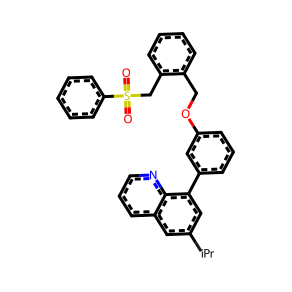 CC(C)c1cc(-c2cccc(OCc3ccccc3CS(=O)(=O)c3ccccc3)c2)c2ncccc2c1